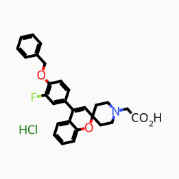 Cl.O=C(O)CN1CCC2(C=C(c3ccc(OCc4ccccc4)c(F)c3)c3ccccc3O2)CC1